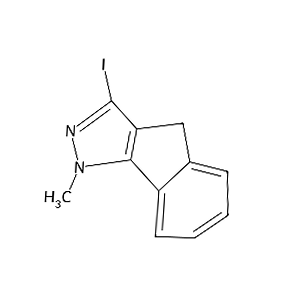 Cn1nc(I)c2c1-c1ccccc1C2